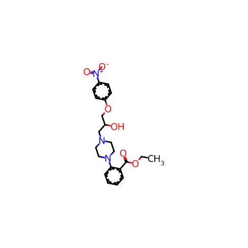 CCOC(=O)c1ccccc1N1CCN(CC(O)COc2ccc([N+](=O)[O-])cc2)CC1